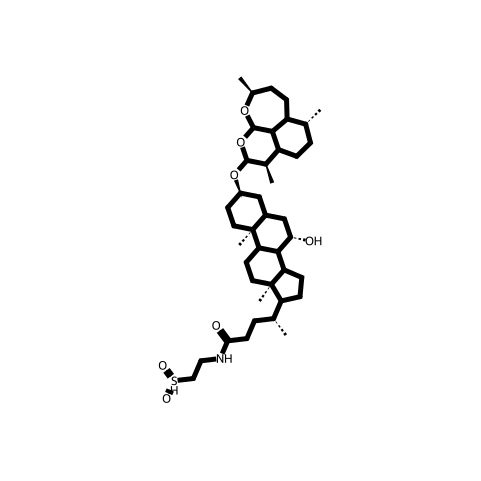 C[C@H]1C(O[C@@H]2CC[C@@]3(C)C(C2)C[C@H](O)C2C3CC[C@@]3(C)C2CCC3[C@H](C)CCC(=O)NCC[SH](=O)=O)OC2O[C@@H](C)CCC3C2C1CC[C@H]3C